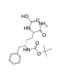 CC(C)(C)OC(=O)N[C@@H](CCC(NC(=O)O)C(N)=O)Cc1ccccc1